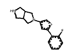 Fc1ccccc1-c1cc(N2CC3CNCC3C2)cs1